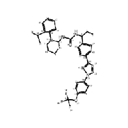 CCC(NC(=O)NC1SCCCN1c1ccccc1C(C)C)c1ccc(-c2ncn(-c3ccc(OC(F)(F)F)cc3)n2)cc1